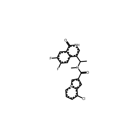 CC(c1c[nH]c(=O)c2cc(F)c(F)cc12)N(C)C(=O)c1cc2c(Cl)cccn2c1